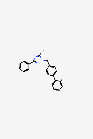 CCCc1nc(-c2ccccc2)nn1Cc1ccc(-c2ccccc2C(=O)O)cc1